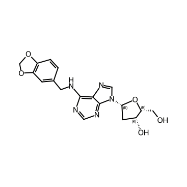 OC[C@H]1O[C@@H](n2cnc3c(NCc4ccc5c(c4)OCO5)ncnc32)C[C@H]1O